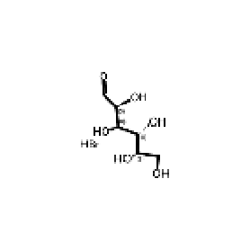 Br.O=C[C@@H](O)[C@H](O)[C@H](O)[C@@H](O)CO